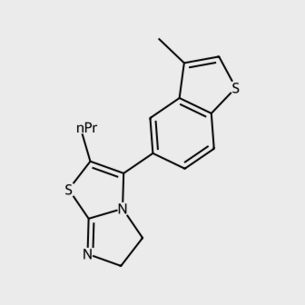 CCCC1=C(c2ccc3scc(C)c3c2)N2CCN=C2S1